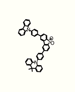 CC1(C)c2ccccc2N(c2ccc(-c3ccc4c(c3)-c3cc(-c5ccc(-n6c7ccccc7c7ccccc76)cc5)ccc3S4(=O)=O)cc2)c2ccccc21